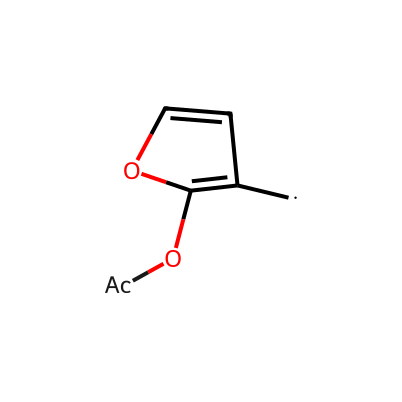 [CH2]c1ccoc1OC(C)=O